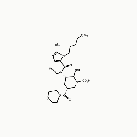 CCCCc1ncc(C(=O)N(CC(C)C)[C@H]2C[C@@H](C(=O)N3CCOCC3)CN(C(=O)O)C2C(C)(C)C)n1CCCCOC